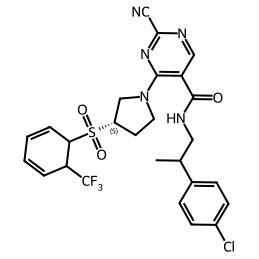 CC(CNC(=O)c1cnc(C#N)nc1N1CC[C@H](S(=O)(=O)C2C=CC=CC2C(F)(F)F)C1)c1ccc(Cl)cc1